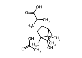 CC(=O)O.CC(C)C(=O)O.CC1(C)C2CCC1(C)C(O)C2